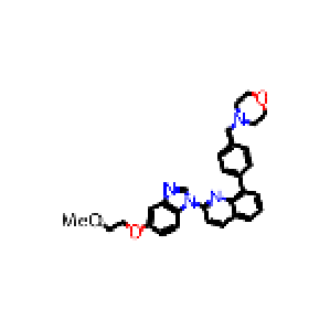 COCCOc1ccc2c(c1)ncn2-c1ccc2cccc(-c3ccc(CN4CCOCC4)cc3)c2n1